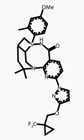 COc1ccc(S23CC4CC(C)(C)N(CC42)c2nc(-n4ccc(OCC5(C(F)(F)F)CC5)n4)ccc2C(=O)N3)c(C)c1